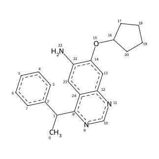 CC(c1ccccc1)c1ncnc2cc(OC3CCCC3)c(N)cc12